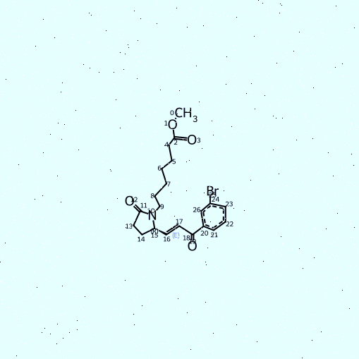 COC(=O)CCCCCCN1C(=O)CC[C@@H]1/C=C/C(=O)c1cccc(Br)c1